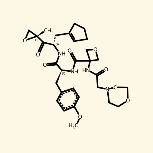 COc1ccc(C[C@H](NC(=O)C2(NC(=O)CN3CCOCC3)COC2)C(=O)N[C@@H](CC2=CCCC2)C(=O)[C@@]2(C)CO2)cc1